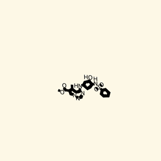 COC(=O)c1cn2ncnc(Nc3ccc(NS(=O)(=O)c4ccccc4)c(O)c3)c2c1C